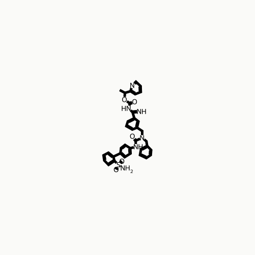 CC(OC(=O)NC(=N)c1cccc(CN(Cc2ccccc2)C(=O)Nc2ccc(-c3ccccc3S(N)(=O)=O)cc2)c1)c1ccccn1